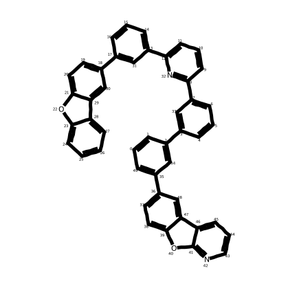 c1cc(-c2cccc(-c3cccc(-c4cccc(-c5ccc6oc7ccccc7c6c5)c4)n3)c2)cc(-c2ccc3oc4ncccc4c3c2)c1